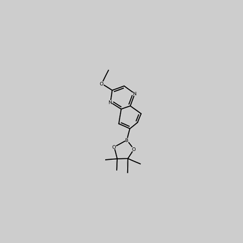 COc1cnc2ccc(B3OC(C)(C)C(C)(C)O3)cc2n1